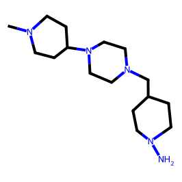 CN1CCC(N2CCN(CC3CCN(N)CC3)CC2)CC1